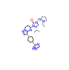 CCN1CCC[C@@H]1CN1C[C@H](C(C)C)N(c2ccn3ncc(-c4ccc(-c5nc[nH]n5)cc4)c3n2)C1=O